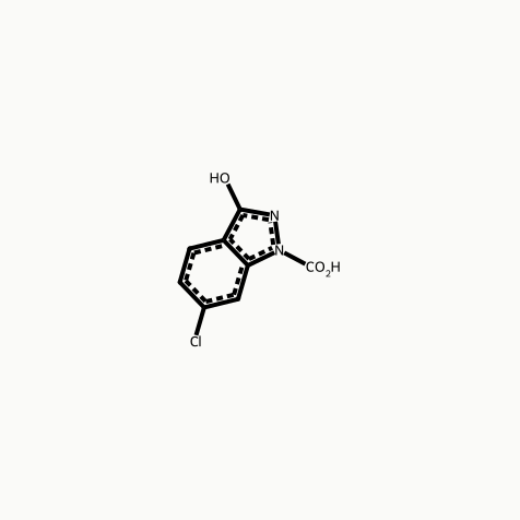 O=C(O)n1nc(O)c2ccc(Cl)cc21